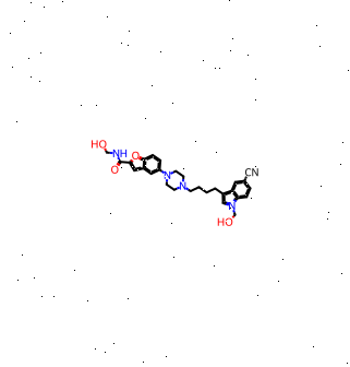 N#Cc1ccc2c(c1)c(CCCCN1CCN(c3ccc4oc(C(=O)NCO)cc4c3)CC1)cn2CO